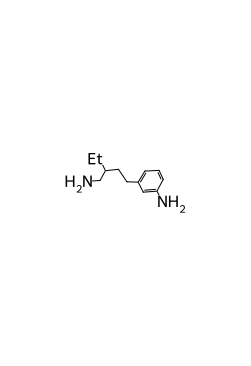 CCC(CN)CCc1cccc(N)c1